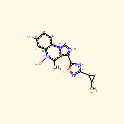 Cc1c2c(-c3nc(C4CC4C)no3)ncn2c2ccc(F)cc2[n+]1[O-]